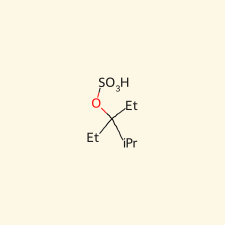 CCC(CC)(OS(=O)(=O)O)C(C)C